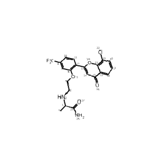 CC(NCCOc1cc(C(F)(F)F)ccc1-c1cc(=O)c2cccc(Cl)c2o1)C(N)=O